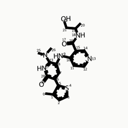 Cc1ccsc1-c1cc(Nc2ccncc2C(=O)NC(C)CO)c(N(C)C)[nH]c1=O